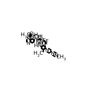 C=Cc1cc(Nc2ncc(Cl)c(Nc3ccc4nccnc4c3N(CC)S(C)(=O)=O)n2)c(OC(F)(F)F)cc1N1CCC(N2CCN(C)CC2)CC1